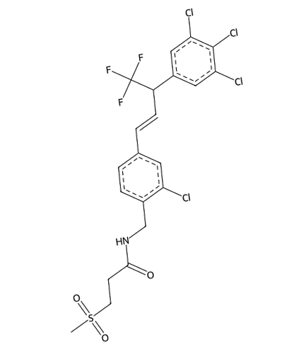 CS(=O)(=O)CCC(=O)NCc1ccc(C=CC(c2cc(Cl)c(Cl)c(Cl)c2)C(F)(F)F)cc1Cl